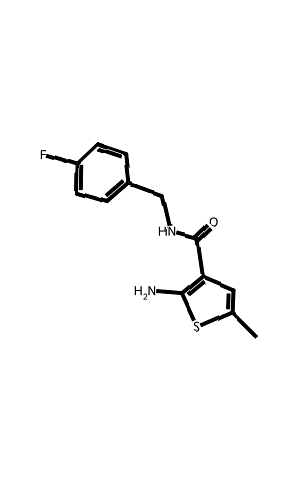 Cc1cc(C(=O)NCc2ccc(F)cc2)c(N)s1